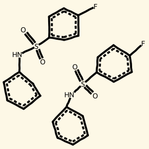 O=S(=O)(Nc1ccccc1)c1ccc(F)cc1.O=S(=O)(Nc1ccccc1)c1ccc(F)cc1